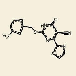 Cc1cccc(CSc2nc(-c3nccs3)c(C#N)c(=O)[nH]2)c1